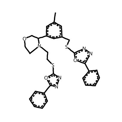 Cc1cc(CSc2nnc(-c3ccccc3)o2)cc(C2COCCN2CCSc2nnc(-c3ccccc3)o2)c1